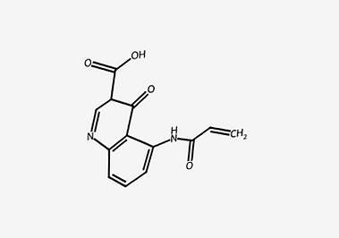 C=CC(=O)Nc1cccc2c1C(=O)C(C(=O)O)C=N2